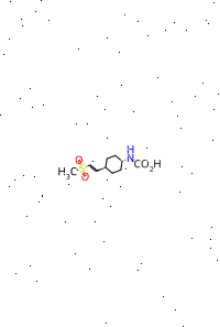 CS(=O)(=O)C=C[C@H]1CC[C@H](NC(=O)O)CC1